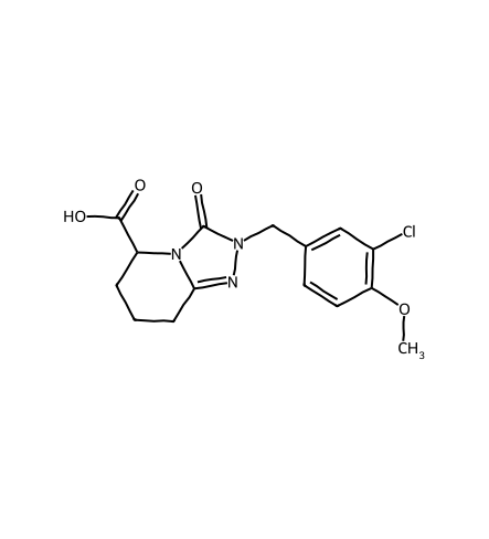 COc1ccc(Cn2nc3n(c2=O)C(C(=O)O)CCC3)cc1Cl